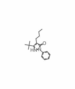 CCCCc1c(C(C)(C)C)[nH]n(-c2ccccc2)c1=O